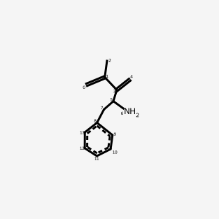 C=C(C)C(=C)C(N)Cc1ccccc1